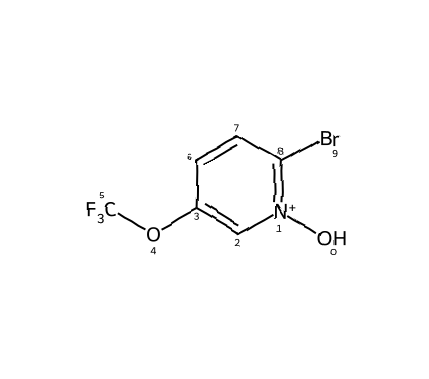 O[n+]1cc(OC(F)(F)F)ccc1Br